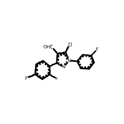 O=Cc1c(-c2ccc(F)cc2F)nn(-c2cccc(F)c2)c1Cl